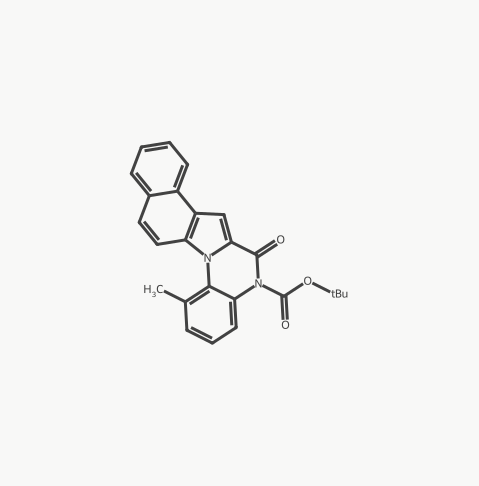 Cc1cccc2c1n1c(cc3c4ccccc4ccc31)c(=O)n2C(=O)OC(C)(C)C